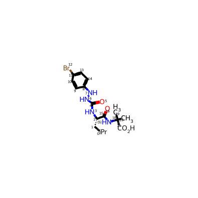 CC(C)C[C@H](NC(=O)NNc1ccc(Br)cc1)C(=O)NC(C)(C)C(=O)O